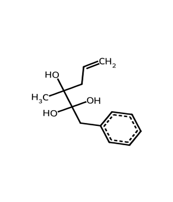 C=CCC(C)(O)C(O)(O)Cc1ccccc1